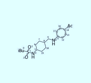 CCC(C)S(=O)(=O)NC1CCC(CNc2ccc(C(C)=O)cc2)CC1